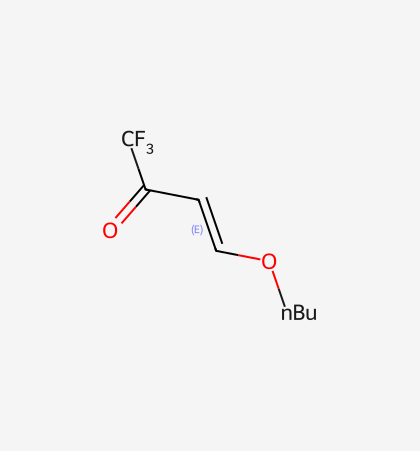 CCCCO/C=C/C(=O)C(F)(F)F